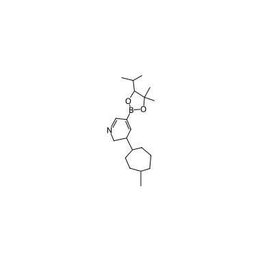 CC1CCCC(C2C=C(B3OC(C(C)C)C(C)(C)O3)C=NC2)CC1